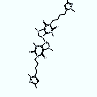 Cc1cc(CCCCn2c(=O)c3c(n(C)c2=O)N(N2CN(C)c4c2n(C)c(=O)n(CCCCc2cc(C)nn2C)c4=O)CN3C)n(C)n1